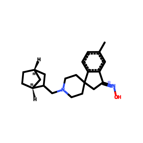 Cc1ccc2c(c1)/C(=N/O)CC21CCN(CC2C[C@H]3CC[C@H]2C3)CC1